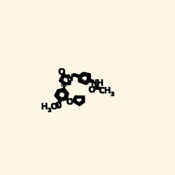 COc1ccc([C@H]2CC(=O)N(Cc3ccc(NC(C)=O)cc3)C2)cc1OC1CCCC1